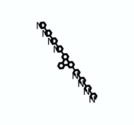 c1cncc(-c2ccc(-c3ccc(-c4ccc(-c5ccc6c7ccc(-c8ccc(-c9ccc(-c%10ccc(-c%11cccnc%11)nc%10)nc9)nc8)cc7c7ccccc7c6c5)cn4)cn3)cn2)c1